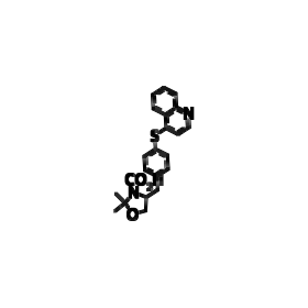 CC1(C)OCC(Cc2ccc(Sc3ccnc4ccccc34)cc2)N1C(=O)O